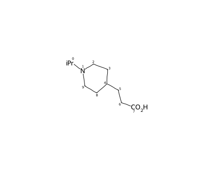 CC(C)N1CCC(CCC(=O)O)CC1